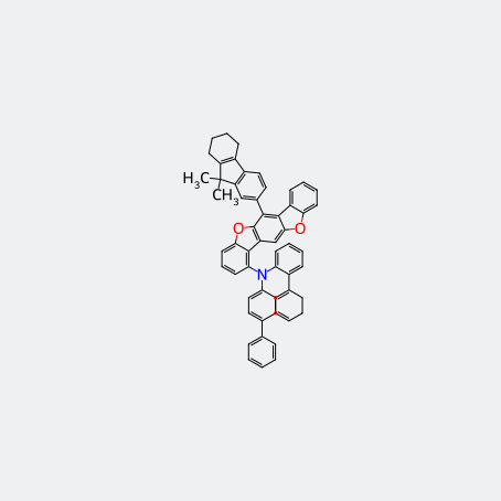 CC1(C)C2=C(CCCC2)c2ccc(-c3c4oc5cccc(N(C6=CC=C(c7ccccc7)CC6)c6ccccc6C6=CC=CCC6)c5c4cc4oc5ccccc5c34)cc21